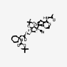 CC(=O)Nc1ncnn2c([C@]3(C#N)O[C@H](COC(=O)CC4(NC(=O)OC(C)(C)C)CCCCC4)[C@H]4OC(C)(C)O[C@H]43)ccc12